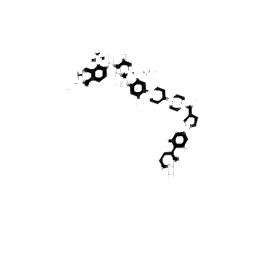 CCc1cc(Nc2ncc(Br)c(Nc3ccc4c(=O)n(CC)ncc4c3P(C)(C)=O)n2)c(OC)cc1N1CCC(N2CCN(C(=O)C3CCN(c4cc(F)c(C5CCC(=O)NC5=O)c(F)c4)C3)CC2)CC1